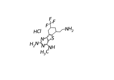 CNc1nc(N)nc2c3c(sc12)C(CCN)CC(C(F)(F)F)C3.Cl